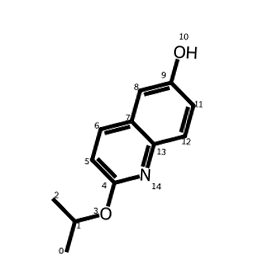 CC(C)Oc1ccc2cc(O)ccc2n1